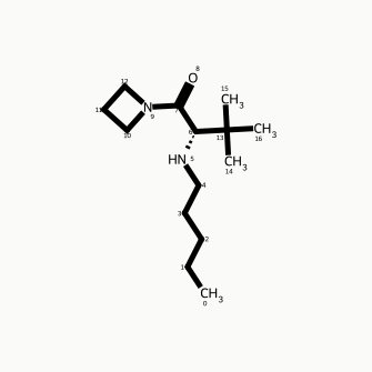 CCCCCN[C@H](C(=O)N1CCC1)C(C)(C)C